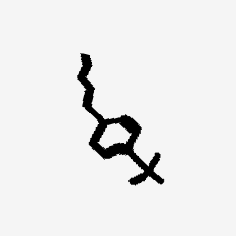 C=CC=Cc1ccc(C(C)(C)C)cc1